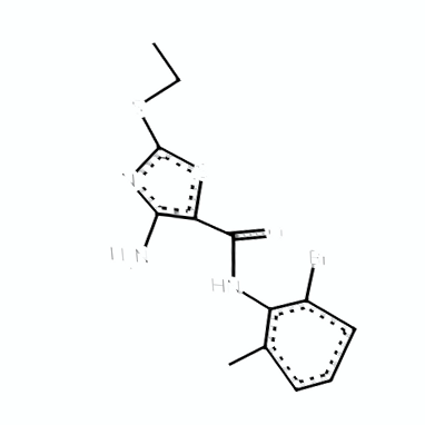 CCSc1nc(N)c(C(=O)Nc2c(C)cccc2Br)s1